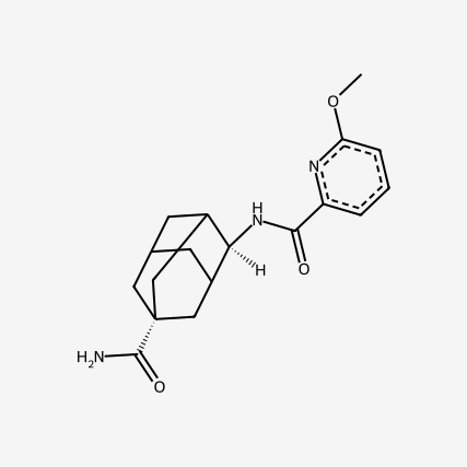 COc1cccc(C(=O)N[C@H]2C3CC4CC2C[C@](C(N)=O)(C4)C3)n1